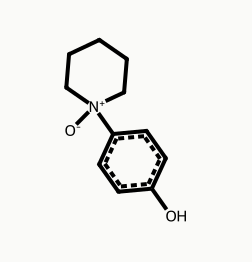 [O-][N+]1(c2ccc(O)cc2)CCCCC1